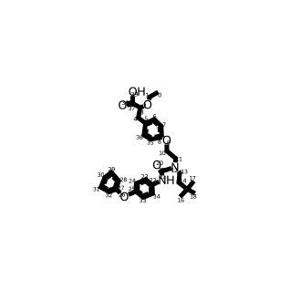 CCOC(Cc1ccc(OCCN(CCC(C)(C)C)C(=O)Nc2ccc(Oc3ccccc3)cc2)cc1)C(=O)O